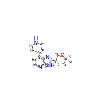 CC1(C)CCC(c2nc3c(C4CCNCC4)ccnc3[nH]2)CO1